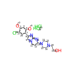 COc1cc(OC)c(-c2cn3ccc(N4CCN(CCO)CC4)nc3n2)cc1Cl.Cl.Cl